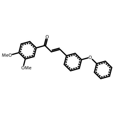 COc1ccc(C(=O)/C=C/c2cccc(Oc3ccccc3)c2)cc1OC